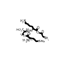 CSCC[C@H](N)C(=O)O[C@H](C)[C@H](N)C(=O)O.NCCCC[C@H](N)C(=O)OC(=O)CN